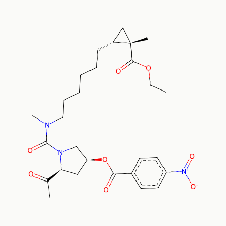 CCOC(=O)[C@@]1(C)C[C@H]1CCCCCCN(C)C(=O)N1C[C@@H](OC(=O)c2ccc([N+](=O)[O-])cc2)C[C@H]1C(C)=O